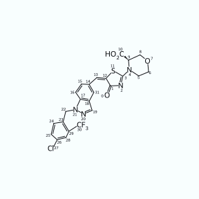 O=C1N=C(N2CCOC[C@@H]2C(=O)O)SC1=Cc1ccc2c(cnn2Cc2ccc(Cl)cc2C(F)(F)F)c1